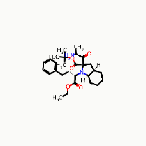 CCOC(=O)[C@H](CCc1ccccc1)N1[C@@H]2CCCC[C@@H]2C[C@@]1(C(=O)OC(C)(C)C)C(=O)C(C)N